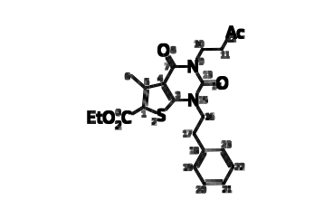 CCOC(=O)c1sc2c(c1C)c(=O)n(CCC(C)=O)c(=O)n2CCc1ccccc1